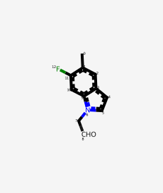 Cc1cc2ccn(CC=O)c2cc1F